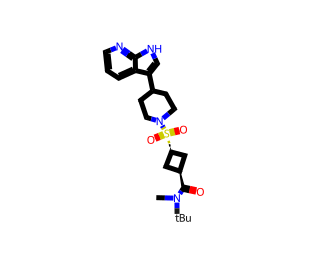 CN(C(=O)[C@H]1C[C@H](S(=O)(=O)N2CCC(c3c[nH]c4ncccc34)CC2)C1)C(C)(C)C